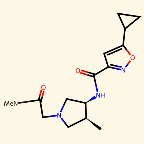 CNC(=O)CN1C[C@H](C)[C@H](NC(=O)c2cc(C3CC3)on2)C1